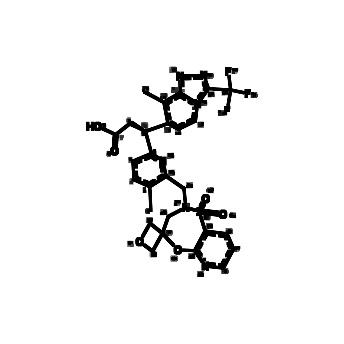 Cc1ccc([C@@H](CC(=O)O)c2ccn3c(C(F)(F)F)nnc3c2C)nc1CN1CC2(COC2)Oc2ncccc2S1(=O)=O